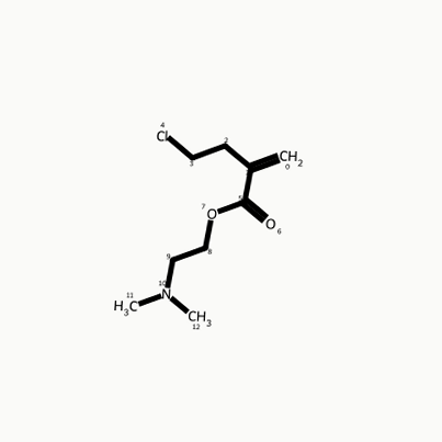 C=C(CCCl)C(=O)OCCN(C)C